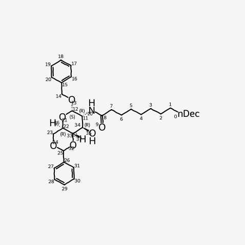 CCCCCCCCCCCCCCCCCC(=O)N[C@H]1[C@@H](OCc2ccccc2)O[C@@H]2COC(c3ccccc3)O[C@H]2[C@@H]1O